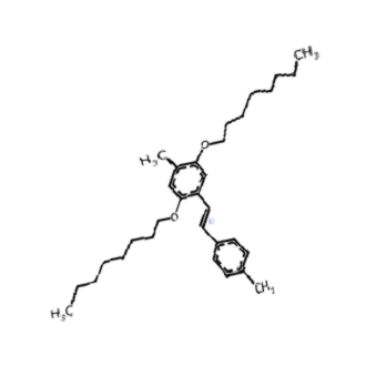 CCCCCCCCOc1cc(/C=C/c2ccc(C)cc2)c(OCCCCCCCC)cc1C